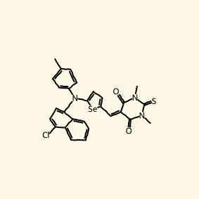 Cc1ccc(N(c2ccc(C=C3C(=O)N(C)C(=S)N(C)C3=O)[se]2)c2ccc(Cl)c3ccccc23)cc1